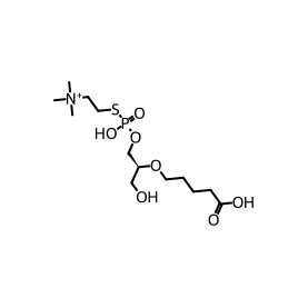 C[N+](C)(C)CCSP(=O)(O)OC[C@H](CO)OCCCCC(=O)O